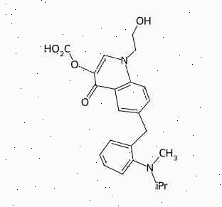 CC(C)N(C)c1ccccc1Cc1ccc2c(c1)c(=O)c(OC(=O)O)cn2CCO